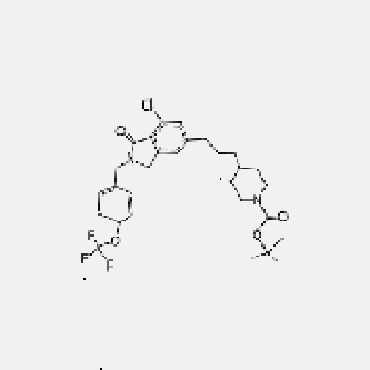 CC(C)(C)OC(=O)N1CCC(CCCc2cc(Cl)c3c(c2)CN(CC2=CCC(OC(F)(F)F)C=C2)C3=O)CC1